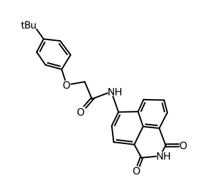 CC(C)(C)c1ccc(OCC(=O)Nc2ccc3c4c(cccc24)C(=O)NC3=O)cc1